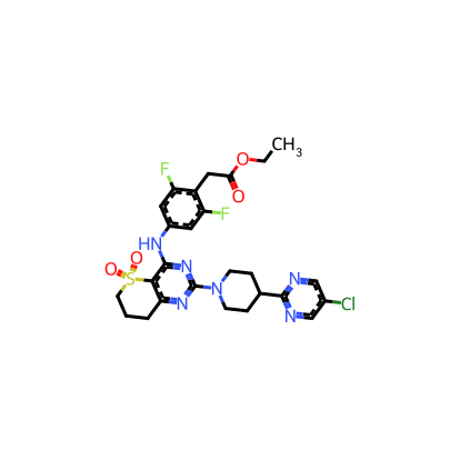 CCOC(=O)Cc1c(F)cc(Nc2nc(N3CCC(c4ncc(Cl)cn4)CC3)nc3c2S(=O)(=O)CCC3)cc1F